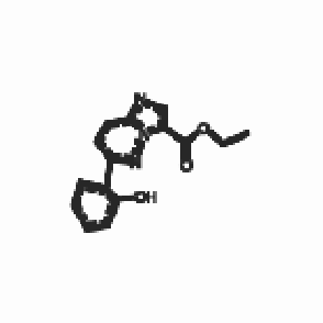 CCOC(=O)c1cnc2ccc(-c3ccccc3O)nn12